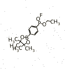 CCOP(OF)c1ccc(B2OC(C)(C)C(C)(C)O2)cc1